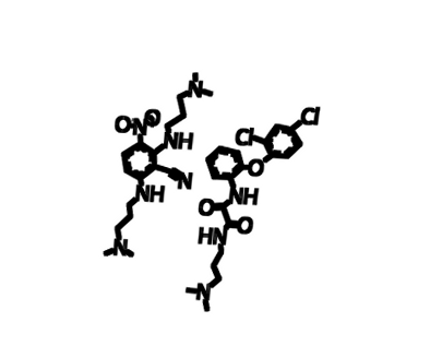 CN(C)CCCNC(=O)C(=O)Nc1ccccc1Oc1ccc(Cl)cc1Cl.CN(C)CCCNc1ccc([N+](=O)[O-])c(NCCCN(C)C)c1C#N